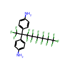 Nc1ccc(C(c2ccc(N)cc2)(C(F)(F)F)C(F)(F)C(F)(F)C(F)(F)C(F)(F)C(F)(F)C(F)(F)F)cc1